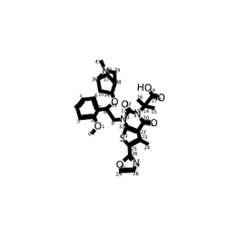 COc1ccccc1C(Cn1c(=O)n(C(C)(C)C(=O)O)c(=O)c2c(C)c(-c3ncco3)sc21)OC1CC2CC1CN2C